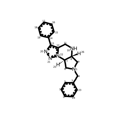 c1ccc(CN2C[C@@H]3[C@@H](C2)NCc2c(-c4ccccc4)nnn23)cc1